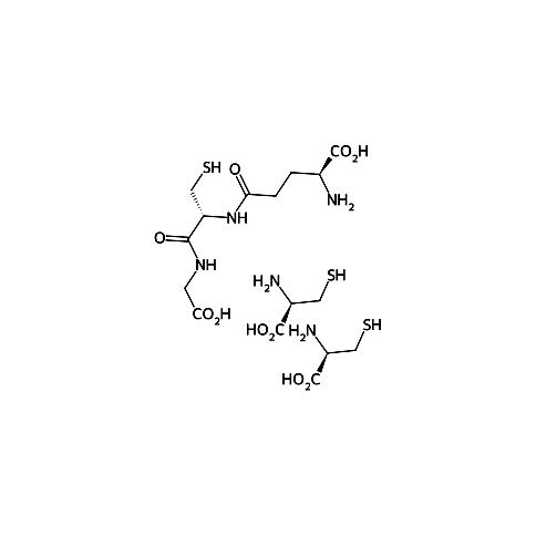 N[C@@H](CCC(=O)N[C@@H](CS)C(=O)NCC(=O)O)C(=O)O.N[C@@H](CS)C(=O)O.N[C@@H](CS)C(=O)O